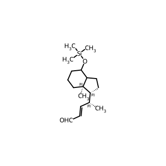 C[C@H](C=CC=O)[C@H]1CCC2C(O[Si](C)(C)C)CCC[C@@]21C